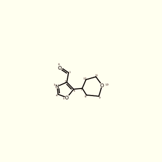 O=Cc1ncoc1C1CCOCC1